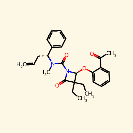 C=CC[C@H](c1ccccc1)N(C)C(=O)N1C(=O)C(CC)(CC)[C@@H]1Oc1ccccc1C(C)=O